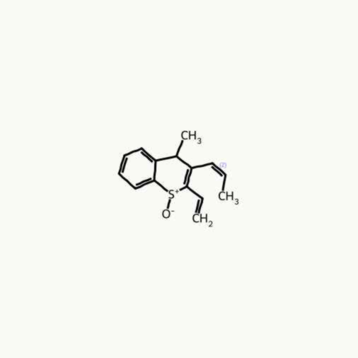 C=CC1=C(/C=C\C)C(C)c2ccccc2[S+]1[O-]